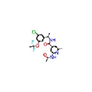 CC(=O)Nc1cc(C(=O)NC(C)c2cc(Cl)cc(OC(C)(F)F)c2)cc(C)n1